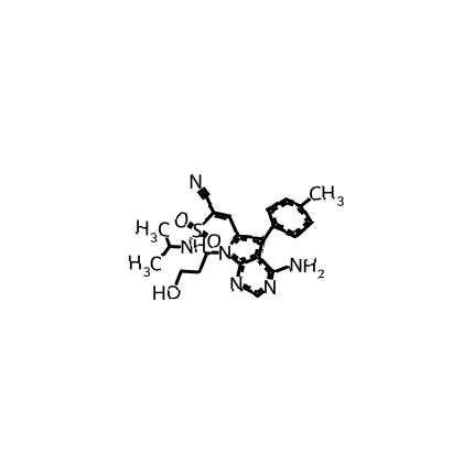 Cc1ccc(-c2c(C=C(C#N)S(=O)(=O)NC(C)C)n(CCCO)c3ncnc(N)c23)cc1